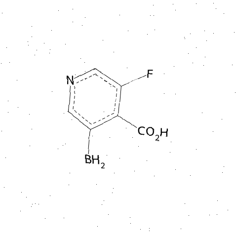 Bc1cncc(F)c1C(=O)O